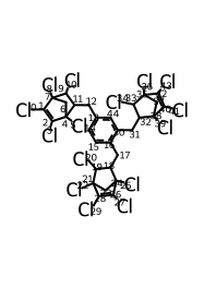 ClC1=C(Cl)C2(Cl)CC1(Cl)C(Cl)C2Cc1ccc(CC2C(Cl)C3(Cl)CC2(Cl)C(Cl)=C3Cl)c(CC2C(Cl)C3(Cl)CC2(Cl)C(Cl)=C3Cl)c1